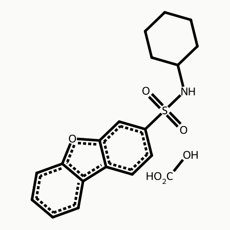 O=C(O)O.O=S(=O)(NC1CCCCC1)c1ccc2c(c1)oc1ccccc12